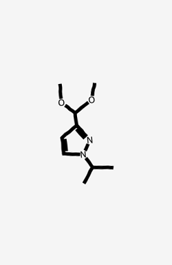 COC(OC)c1ccn(C(C)C)n1